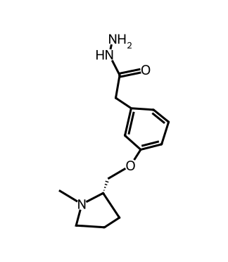 CN1CCC[C@H]1COc1cccc(CC(=O)NN)c1